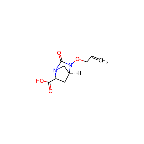 C=CCON1C(=O)N2C[C@@H]1CC2C(=O)O